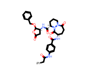 CC(C)CC(=O)Nc1ccc(C(=O)N[C@H]2CCC(=O)N3CCC[C@@H](C(=O)N[C@H]4CC(=O)OC4OCc4ccccc4)N3C2=O)cc1